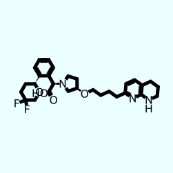 O=C(O)[C@@H](c1ccccc1[C@H]1CCC(F)(F)CO1)N1CC[C@@H](OCCCCc2ccc3c(n2)NCCC3)C1